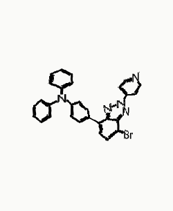 Brc1ccc(-c2ccc(N(c3ccccc3)c3ccccc3)cc2)c2nn(-c3ccncc3)nc12